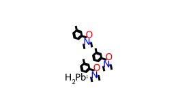 CCN(CC)C(=O)c1cccc(C)c1.CCN(CC)C(=O)c1cccc(C)c1.CCN(CC)C(=O)c1cccc(C)c1.[PbH2]